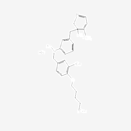 Br.CCCCCCCCCCCCCCOc1ccc(CN(C(C)=O)c2cccc(CC3(C)CN=CC=C3C)c2)cc1C(C)(C)C